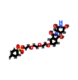 Cc1ccc(S(=O)(=O)OCCOCCOCCOc2ccc3c(c2)C(=O)N(C2(C)CCC(=O)NC2=O)C3=O)cc1